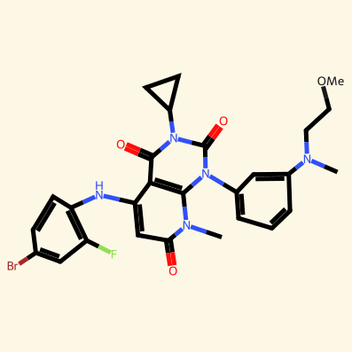 COCCN(C)c1cccc(-n2c(=O)n(C3CC3)c(=O)c3c(Nc4ccc(Br)cc4F)cc(=O)n(C)c32)c1